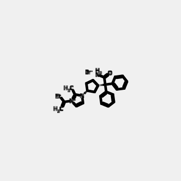 C=C(CC)[n+]1ccn([C@@H]2CC[C@H](C(C(N)=O)(c3ccccc3)c3ccccc3)C2)c1C.[Br-]